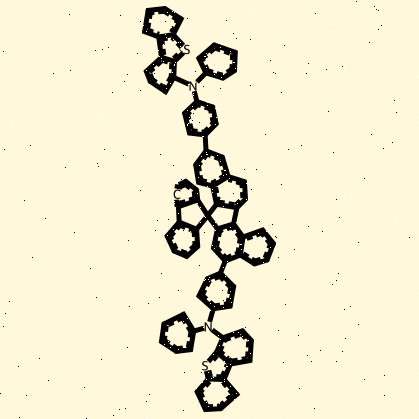 c1ccc(N(c2ccc(-c3ccc4c5c(ccc4c3)-c3c(cc(-c4ccc(N(c6ccccc6)c6cccc7c6sc6ccccc67)cc4)c4ccccc34)C53c4ccccc4-c4ccccc43)cc2)c2cccc3c2sc2ccccc23)cc1